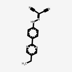 CCc1cnc(-c2ccc(NN=C(C#N)C#N)cc2)nc1